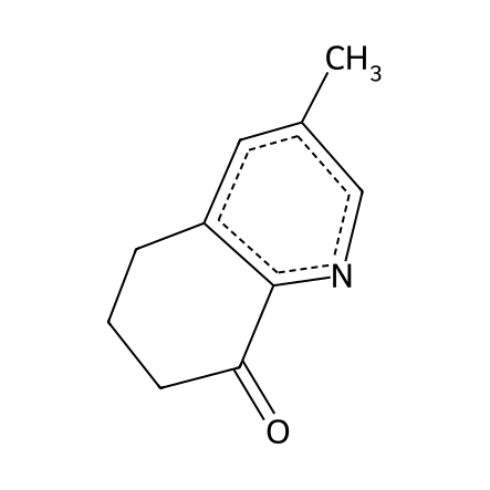 Cc1cnc2c(c1)CCCC2=O